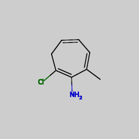 CC1=CC=CCC(Cl)=C1N